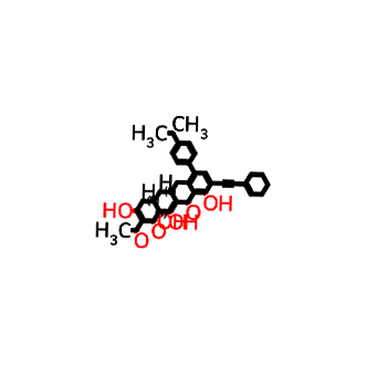 CC(=O)C1=C(O)C[C@H]2C[C@H]3Cc4c(-c5ccc(C(C)C)cc5)cc(C#CC5=CCCCC5)c(O)c4C(=O)C3=C(O)[C@@]2(O)C1=O